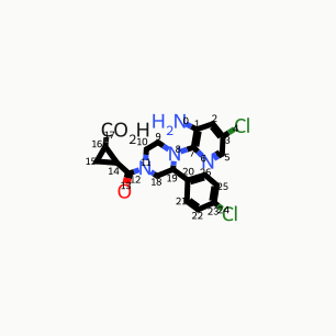 Nc1cc(Cl)cnc1N1CCN(C(=O)C2CC2C(=O)O)CC1c1ccc(Cl)cc1